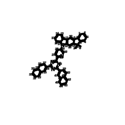 CC1(C)c2ccccc2-c2cc3c4ccccc4n(-c4ccc(-c5nc(-c6ccc7ccccc7c6)nc(-c6ccc7ccccc7c6)n5)nc4)c3cc21